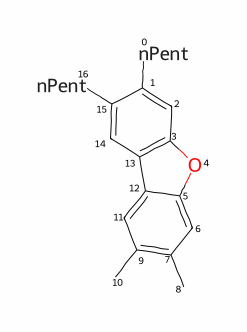 CCCCCc1cc2oc3cc(C)c(C)cc3c2cc1CCCCC